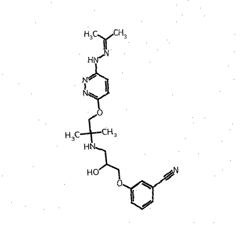 CC(C)=NNc1ccc(OCC(C)(C)NCC(O)COc2cccc(C#N)c2)nn1